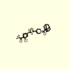 CN(C)C(=O)c1ccc(-c2nnc(C3=CCN(C(=O)C45CC6CC(CC(C6)C4)C5)CC3)s2)cc1Cl